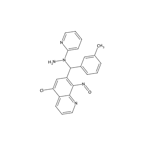 Cc1cccc(C(c2cc(Cl)c3cccnc3c2N=O)N(N)c2ccccn2)c1